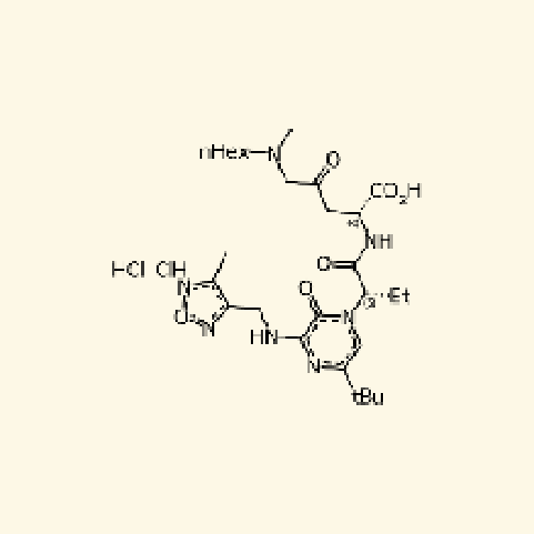 CCCCCCN(C)CC(=O)C[C@@H](NC(=O)[C@H](CC)n1cc(C(C)(C)C)nc(NCc2nonc2C)c1=O)C(=O)O.Cl.Cl